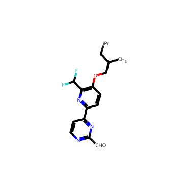 CC(C)CC(C)COc1ccc(-c2ccnc(C=O)n2)nc1C(F)F